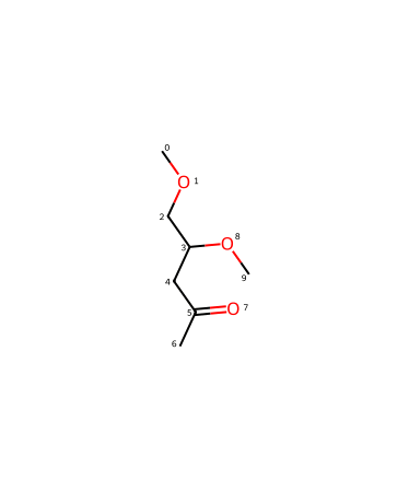 COCC(CC(C)=O)OC